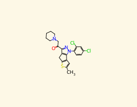 Cc1cc2c(s1)Cc1c(C(=O)CN3CCCCC3)nn(-c3ccc(Cl)cc3Cl)c1-2